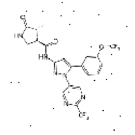 C[C@H]1C(=O)NC[C@@H]1C(=O)Nc1cc(-c2cccc(OC(F)(F)F)c2)n(-c2cnc(C(F)(F)F)nc2)n1